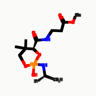 CC(C)[C@H](N[PH]1(O)OCC(C)(C)[C@H](C(=O)NCCC(=O)OC(C)(C)C)O1)C(=O)O